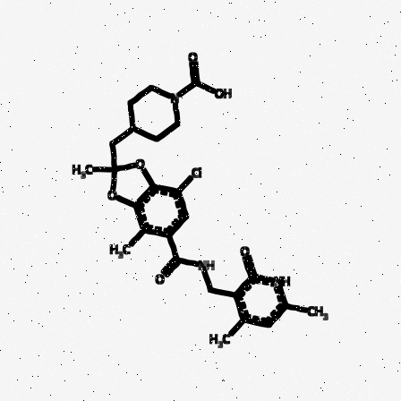 Cc1cc(C)c(CNC(=O)c2cc(Cl)c3c(c2C)OC(C)(CC2CCN(C(=O)O)CC2)O3)c(=O)[nH]1